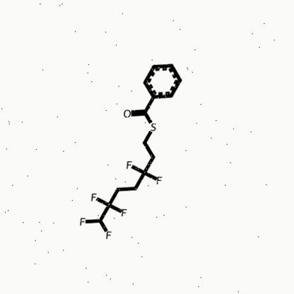 O=C(SCCC(F)(F)CCC(F)(F)C(F)F)c1ccccc1